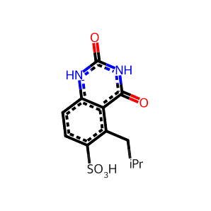 CC(C)Cc1c(S(=O)(=O)O)ccc2[nH]c(=O)[nH]c(=O)c12